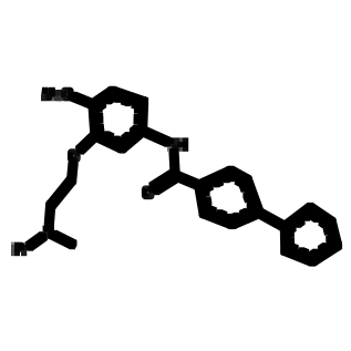 COc1ccc(NC(=O)c2ccc(-c3ccccc3)cc2)cc1OCCN(C)C(C)C